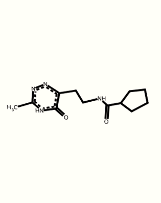 Cc1nnc(CCNC(=O)C2CCCC2)c(=O)[nH]1